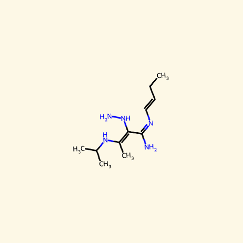 CC/C=C/N=C(N)\C(NN)=C(/C)NC(C)C